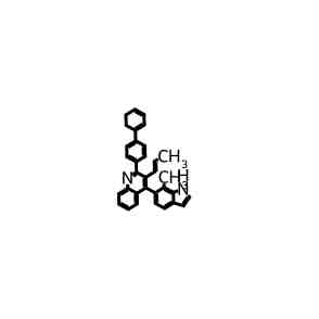 CC=Cc1c(-c2ccc(C3=CC=CCC3)cc2)nc2ccccc2c1-c1ccc2cc[nH]c2c1C